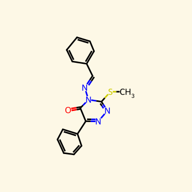 CSc1nnc(-c2ccccc2)c(=O)n1N=Cc1ccccc1